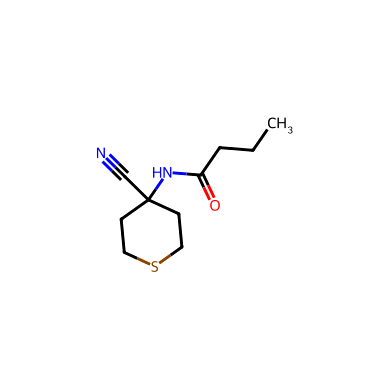 CCCC(=O)NC1(C#N)CCSCC1